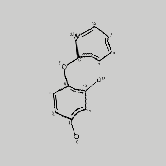 Clc1ccc(Oc2cc[c]cn2)c(Cl)c1